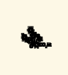 CCOC(=O)N1CCN(C(=O)[C@H](COCc2ccccc2)NC(=O)c2cc(OC3CCCC3)nc(-c3ccccc3)n2)CC1